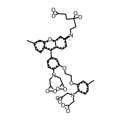 Cc1ccc(N(CC2OO2)CC2OO2)c(OCCOc2cc(-c3c4cc/c(=N/CCC5(CCC6OO6)OO5)cc-4oc4cc(C)ccc34)ccc2N(CC2OO2)CC2OO2)c1